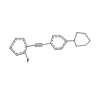 Fc1ccccc1C#Cc1ccc(C2CCCCC2)cc1